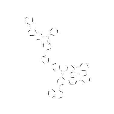 c1ccc(-n2c3ccc(-c4cccc(-c5ccc(N(c6ccc(-c7cccc8ccccc78)cc6)c6ccc7c(c6)C6(c8ccccc8-c8ccccc86)c6ccccc6-7)cc5)c4)cc3c3cc4ccc5c6ccccc6sc5c4cc32)cc1